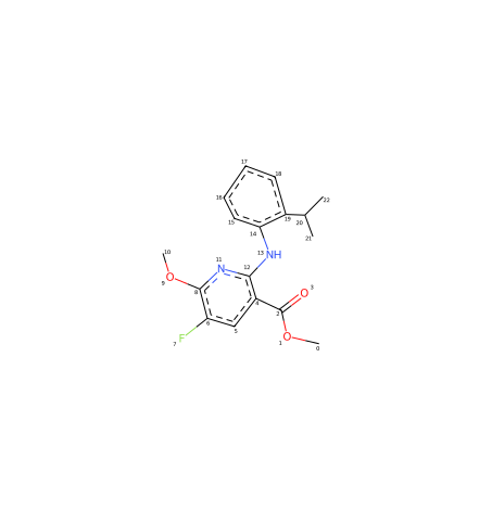 COC(=O)c1cc(F)c(OC)nc1Nc1ccccc1C(C)C